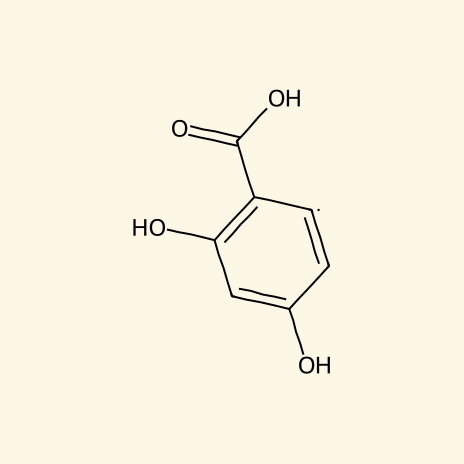 O=C(O)c1[c]cc(O)cc1O